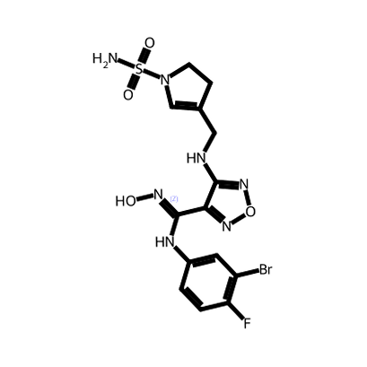 NS(=O)(=O)N1C=C(CNc2nonc2/C(=N/O)Nc2ccc(F)c(Br)c2)CC1